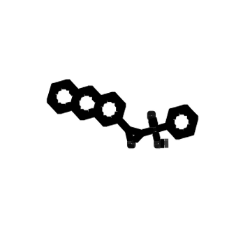 O=P(O)(c1ccccc1)C1OC1c1ccc2cc3ccccc3cc2c1